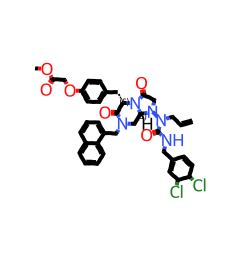 C=CCN(C(=O)NCC1=CC(Cl)C(Cl)C=C1)N1CC(=O)N2[C@@H](Cc3ccc(OCC(=O)OC)cc3)C(=O)N(Cc3cccc4ccccc34)C[C@@H]21